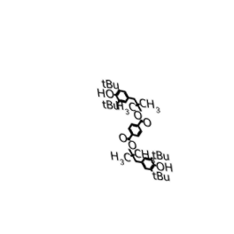 CC(C)(COC(=O)c1ccc(C(=O)OCC(C)(C)Cc2cc(C(C)(C)C)c(O)c(C(C)(C)C)c2)cc1)Cc1cc(C(C)(C)C)c(O)c(C(C)(C)C)c1